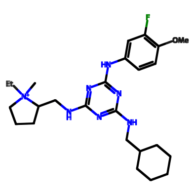 CC[N+]1(C)CCCC1CNc1nc(NCC2CCCCC2)nc(Nc2ccc(OC)c(F)c2)n1